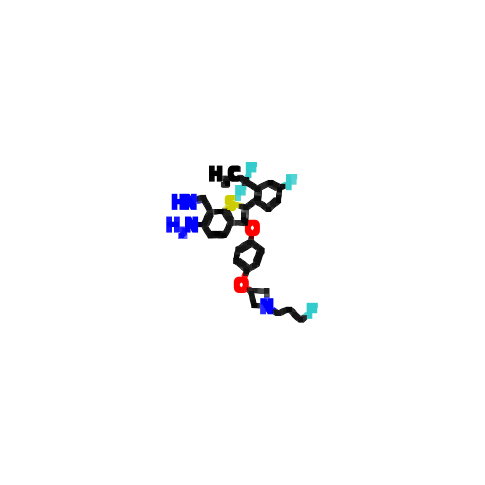 CC(F)(F)c1cc(F)ccc1-c1sc2c(C=N)c(N)ccc2c1Oc1ccc(OC2CN(CCCF)C2)cc1